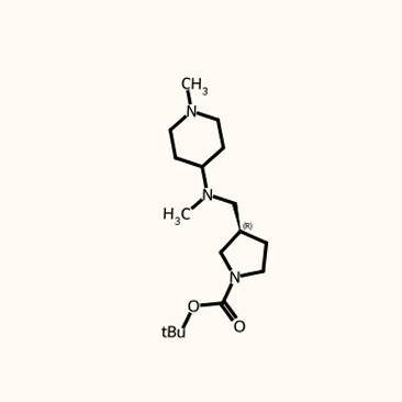 CN1CCC(N(C)C[C@H]2CCN(C(=O)OC(C)(C)C)C2)CC1